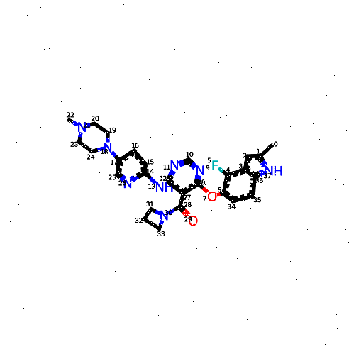 Cc1cc2c(F)c(Oc3ncnc(Nc4ccc(N5CCN(C)CC5)cn4)c3C(=O)N3CCC3)ccc2[nH]1